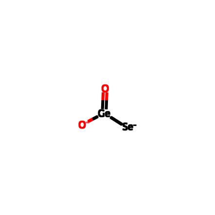 [O]=[Ge]([O-])[Se-]